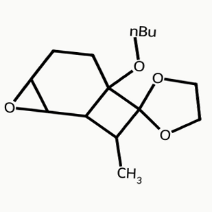 CCCCOC12CCC3OC3C1C(C)C21OCCO1